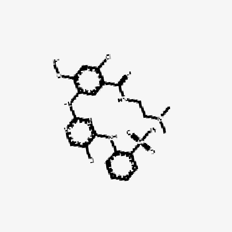 CC(C)Oc1cc(Cl)c(C(=O)NCCN(C)C)cc1Nc1ncc(Cl)c(Nc2ccccc2S(=O)(=O)C(C)C)n1